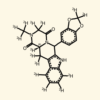 [2H]c1c([2H])c([2H])c2c3c([nH]c2c1[2H])C(c1ccc2c(c1)OC([2H])([2H])O2)N1C(=O)C([2H])([2H])N(C([2H])([2H])[2H])C(=O)[C@@]1([2H])C3([2H])[2H]